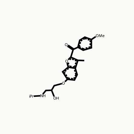 COc1ccc(C(=O)c2oc3cc(OCC(O)CNC(C)C)ccc3c2C)cc1